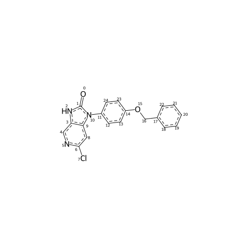 O=c1[nH]c2cnc(Cl)cc2n1-c1ccc(OCc2ccccc2)cc1